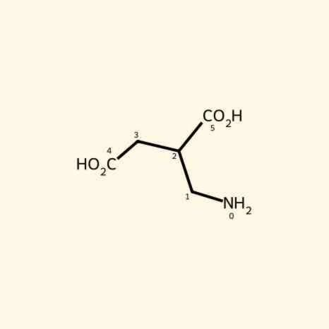 NCC(CC(=O)O)C(=O)O